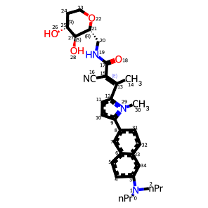 CCCN(CCC)c1ccc2cc(-c3ccc(/C(C)=C(\C#N)C(=O)NC[C@H]4OCC[C@@H](O)[C@@H]4O)n3C)ccc2c1